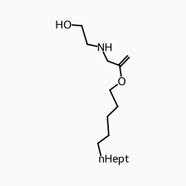 C=C(CNCCO)OCCCCCCCCCCCC